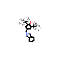 CC(C)(C)c1cc(CN2Cc3ccccc3C2)cc(C(C)(C)C)c1O